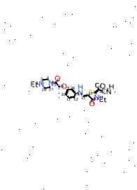 CCN1CCN(C(=O)COc2cccc(NC=c3sc(=C(C#N)C(=O)O)n(CC)c3=O)c2)CC1